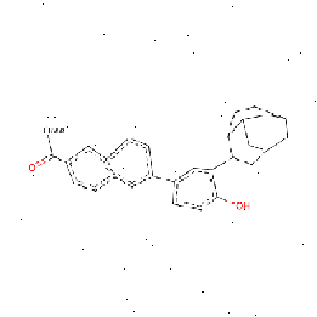 COC(=O)c1ccc2cc(-c3ccc(O)c(C4CC5CC6CCC4C(C6)C5)c3)ccc2c1